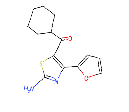 Nc1nc(-c2ccco2)c(C(=O)C2CCCCC2)s1